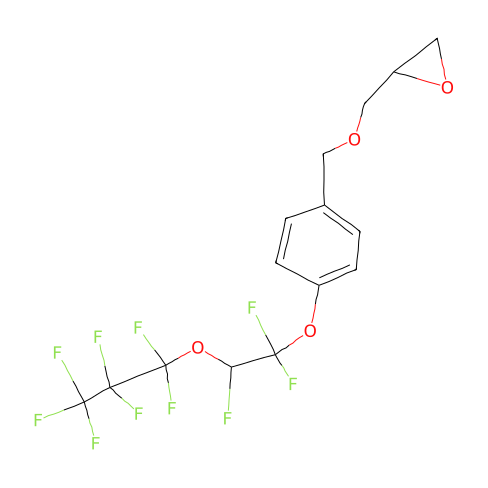 FC(OC(F)(F)C(F)(F)C(F)(F)F)C(F)(F)Oc1ccc(COCC2CO2)cc1